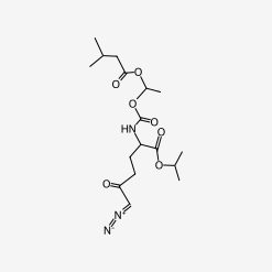 CC(C)CC(=O)OC(C)OC(=O)NC(CCC(=O)C=[N+]=[N-])C(=O)OC(C)C